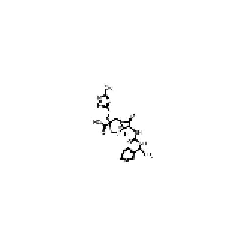 Cc1nnc(SCC2(C(=O)O)CS[C@@H]3C(NC(=O)NC(C)c4ccccc4)C(=O)N3C2)s1